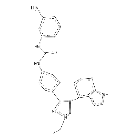 CCn1cc(-c2ccnc3[nH]ccc23)c(-c2ccc(NC(=O)Nc3cccc(N)c3)cc2)n1